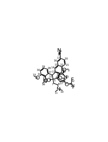 COc1cc(C(O)(CCN(C)C)C(c2cc3cc(C#N)ccc3nc2OC)c2cccc(OC)c2OC)cc(OC(F)F)n1